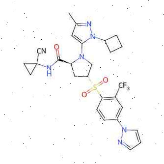 Cc1cc(N2C[C@H](S(=O)(=O)c3ccc(-n4cccn4)cc3C(F)(F)F)C[C@H]2C(=O)NC2(C#N)CC2)n(C2CCC2)n1